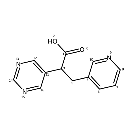 O=C(O)C(Cc1cccnc1)c1cncnc1